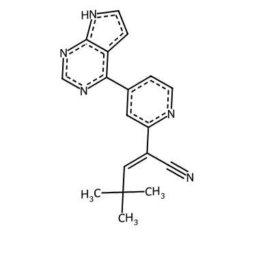 CC(C)(C)C=C(C#N)c1cc(-c2ncnc3[nH]ccc23)ccn1